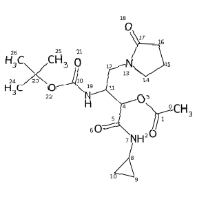 CC(=O)OC(C(=O)NC1CC1)C(CN1CCCC1=O)NC(=O)OC(C)(C)C